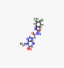 CN1c2ncn(CC(=O)Nc3nc4cc(Cl)c(Cl)cc4o3)c2N=CC1O